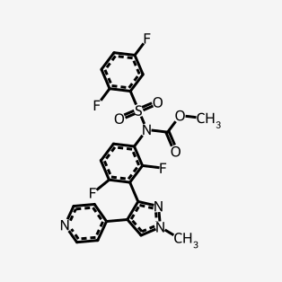 COC(=O)N(c1ccc(F)c(-c2nn(C)cc2-c2ccncc2)c1F)S(=O)(=O)c1cc(F)ccc1F